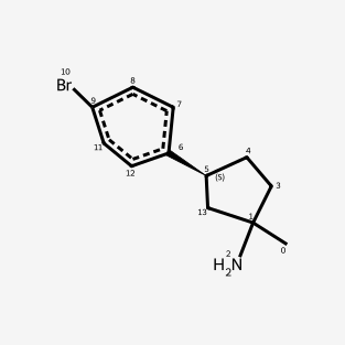 CC1(N)CC[C@H](c2ccc(Br)cc2)C1